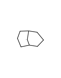 [CH]1C2CCCC1CCC2